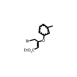 CCOC(=O)C=C(CBr)Oc1cccc(C)c1